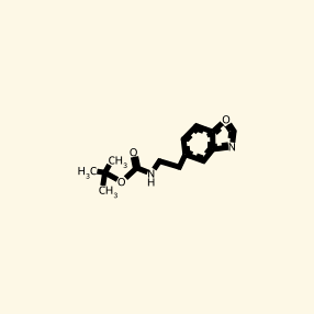 CC(C)(C)OC(=O)NCCc1ccc2ocnc2c1